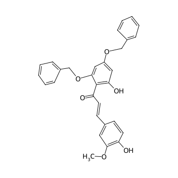 COc1cc(C=CC(=O)c2c(O)cc(OCc3ccccc3)cc2OCc2ccccc2)ccc1O